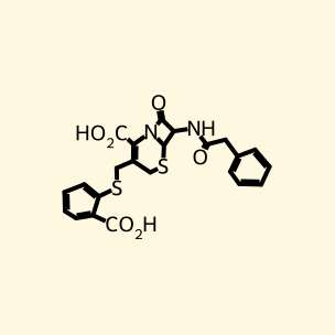 O=C(Cc1ccccc1)NC1C(=O)N2C(C(=O)O)=C(CSc3ccccc3C(=O)O)CSC12